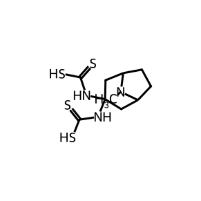 CN1C2CCC1CC(NC(=S)S)(NC(=S)S)C2